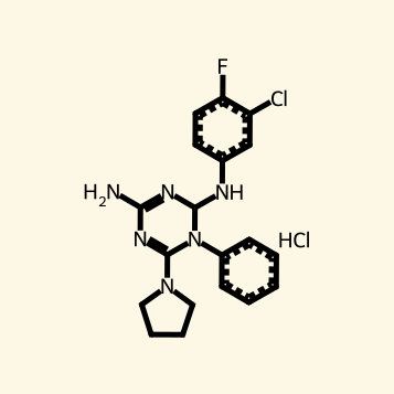 Cl.NC1=NC(Nc2ccc(F)c(Cl)c2)N(c2ccccc2)C(N2CCCC2)=N1